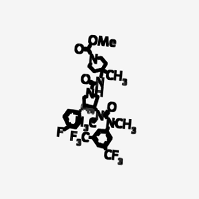 COC(=O)N1CCC(C)(NC(=O)N2C[C@@H](N(C)C(=O)N(C)c3cc(C(F)(F)F)cc(C(F)(F)F)c3)[C@H](c3ccc(F)cc3)C2)CC1